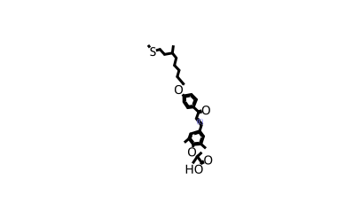 CSCCC(C)CCCCCOc1ccc(C(=O)/C=C/c2cc(C)c(OC(C)(C)C(=O)O)c(C)c2)cc1